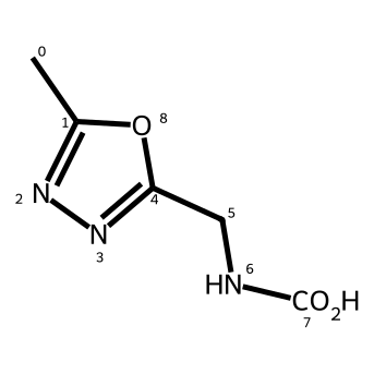 Cc1nnc(CNC(=O)O)o1